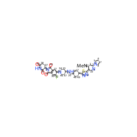 CNc1cc(-n2cccc2)ncc1-c1nnc(C2CCC(CNC3CCN(c4cc5c(cc4F)C(=O)N(C4CCC(=O)NC4=O)C5=O)CC3)CC2)s1